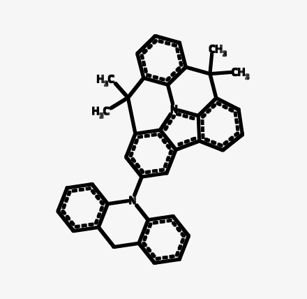 CC1(C)c2cccc3c2-n2c4c1cccc4c1cc(N4c5ccccc5Cc5ccccc54)cc(c12)C3(C)C